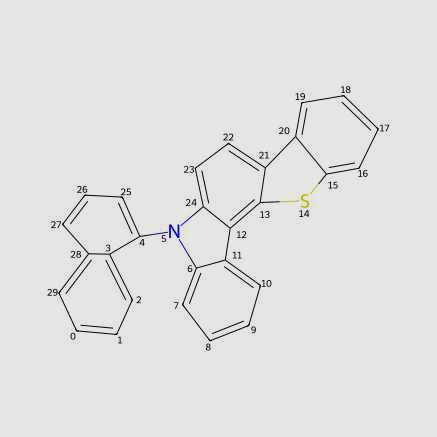 c1ccc2c(-n3c4ccccc4c4c5sc6ccccc6c5ccc43)cccc2c1